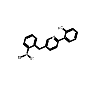 CCN(CC)c1ccccc1Cc1ccc(-c2ccccc2C#N)nc1